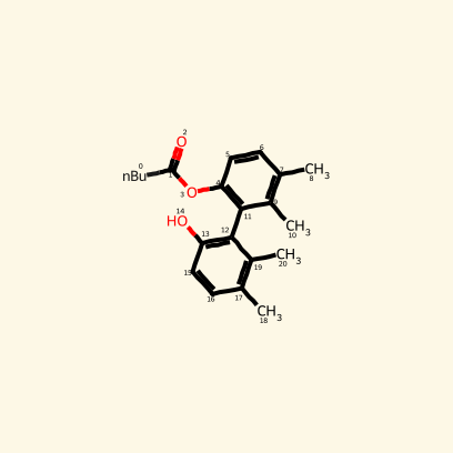 CCCCC(=O)Oc1ccc(C)c(C)c1-c1c(O)ccc(C)c1C